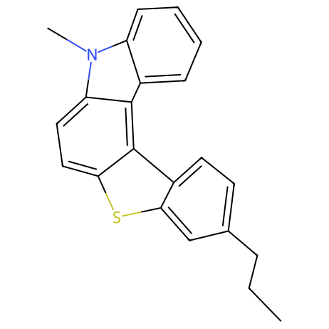 CCCc1ccc2c(c1)sc1ccc3c(c4ccccc4n3C)c12